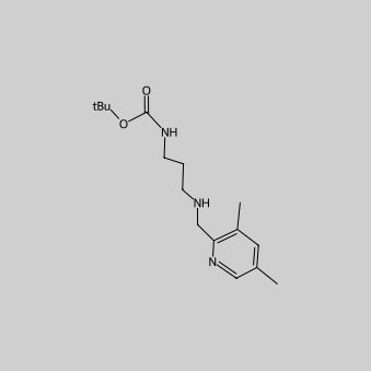 Cc1cnc(CNCCCNC(=O)OC(C)(C)C)c(C)c1